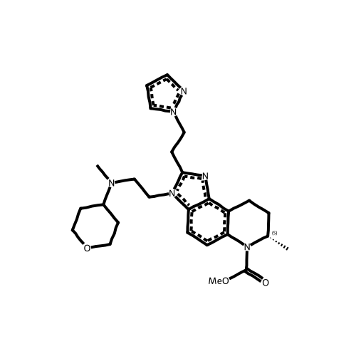 COC(=O)N1c2ccc3c(nc(CCn4cccn4)n3CCN(C)C3CCOCC3)c2CC[C@@H]1C